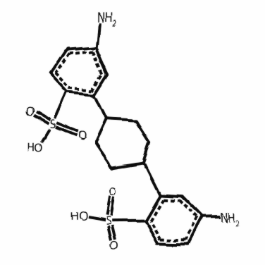 Nc1ccc(S(=O)(=O)O)c(C2CCC(c3cc(N)ccc3S(=O)(=O)O)CC2)c1